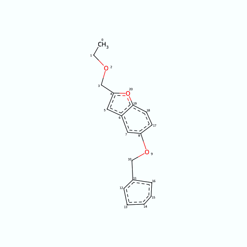 CCOCc1cc2cc(OCc3ccccc3)ccc2o1